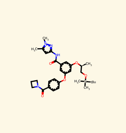 Cc1cc(NC(=O)c2cc(Oc3ccc(C(=O)N4CCC4)cc3)cc(O[C@@H](C)CO[Si](C)(C)C(C)(C)C)c2)nn1C